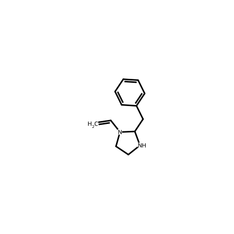 C=CN1CCNC1Cc1ccccc1